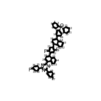 O=P(c1ccccc1)(c1ccccc1)c1ccc(-c2ccc(-c3cc(F)c(-c4ccc(-c5nc(-c6ccc(F)cc6)nc(-c6ccc(F)cc6)n5)c5ccccc45)cc3F)c3ccccc23)cc1